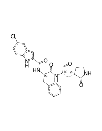 O=C[C@H](C[C@@H]1CCNC1=O)NC(=O)[C@H](Cc1ccccc1)NC(=O)c1cc2cc(Cl)ccc2[nH]1